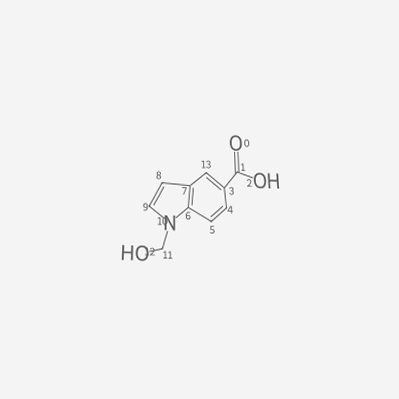 O=C(O)c1ccc2c(ccn2CO)c1